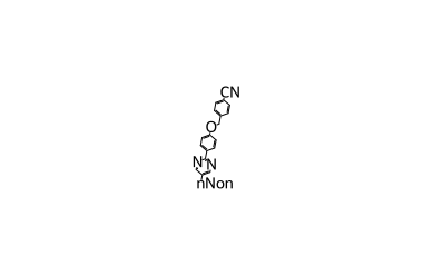 CCCCCCCCCc1cnc(-c2ccc(OCc3ccc(C#N)cc3)cc2)nc1